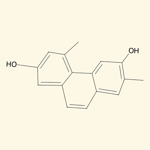 Cc1cc2ccc3cc(O)cc(C)c3c2cc1O